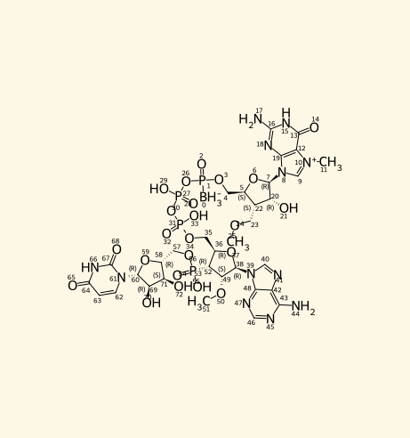 [BH3-]P(=O)(OC[C@H]1O[C@@H](n2c[n+](C)c3c(=O)[nH]c(N)nc32)[C@H](O)[C@@H]1COC)OP(=O)(O)OP(=O)(O)OC[C@H]1O[C@@H](n2cnc3c(N)ncnc32)[C@H](OC)[C@@H]1P(=O)(O)OC[C@H]1O[C@@H](n2ccc(=O)[nH]c2=O)[C@H](O)[C@@H]1O